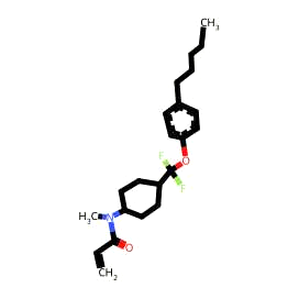 C=CC(=O)N(C)C1CCC(C(F)(F)Oc2ccc(CCCCC)cc2)CC1